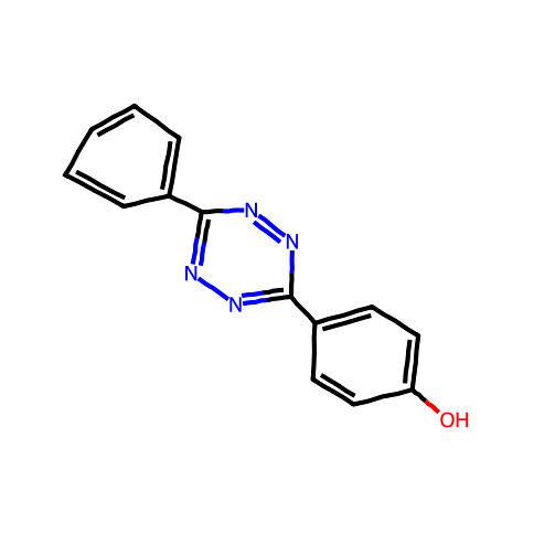 Oc1ccc(-c2nnc(-c3ccccc3)nn2)cc1